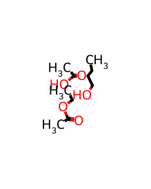 CC(=O)O.CCCCO.CCOC(C)=O